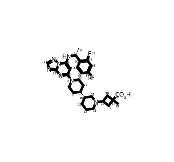 C[C@@H](Nc1cc(N2CCC([C@H]3CCCN(C4CC(C)(C(=O)O)C4)C3)CC2)nc2ncnn12)c1ccc(F)cc1F